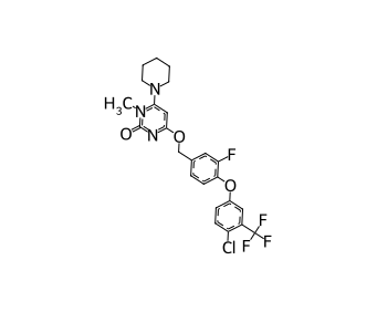 Cn1c(N2CCCCC2)cc(OCc2ccc(Oc3ccc(Cl)c(C(F)(F)F)c3)c(F)c2)nc1=O